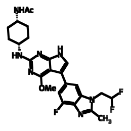 COc1nc(N[C@H]2CC[C@@H](NC(C)=O)CC2)nc2[nH]cc(-c3cc(F)c4nc(C)n(CC(F)F)c4c3)c12